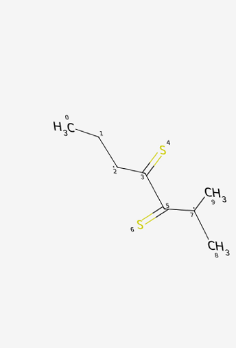 CC[CH]C(=S)C(=S)[C](C)C